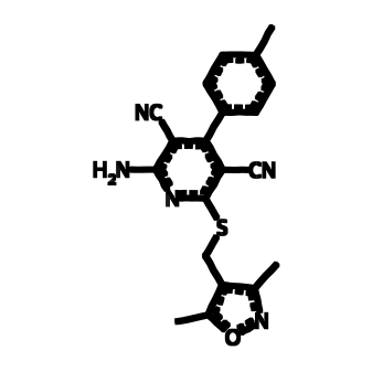 Cc1ccc(-c2c(C#N)c(N)nc(SCc3c(C)noc3C)c2C#N)cc1